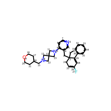 CCC1(Cc2cnccc2N2CC3(CN(CC4CCOCC4)C3)C2)CC=C(F)C=C1c1ccccc1